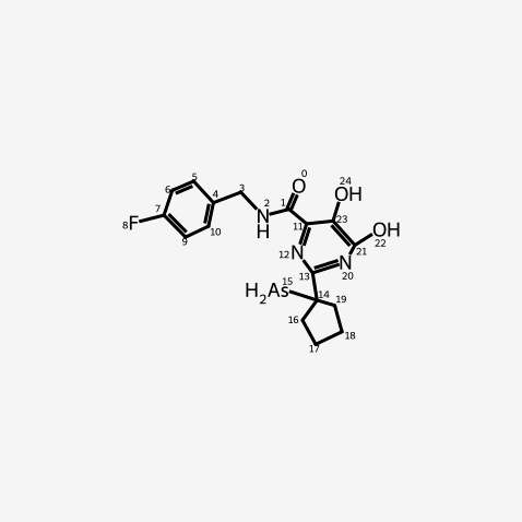 O=C(NCc1ccc(F)cc1)c1nc(C2([AsH2])CCCC2)nc(O)c1O